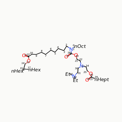 CCCCCCCCN(CCCCCCCCCC(=O)OCC(CCCCCC)CCCCCC)C(=O)OCCN(CCOC(=O)CCCCCCC)CCN(CC)CC